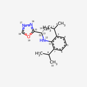 CC(C)c1cccc(C(C)C)c1N[C@@H](C)c1nnco1